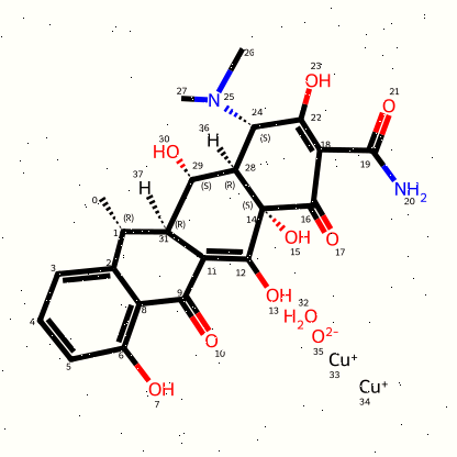 C[C@H]1c2cccc(O)c2C(=O)C2=C(O)[C@]3(O)C(=O)C(C(N)=O)=C(O)[C@@H](N(C)C)[C@@H]3[C@@H](O)[C@@H]21.O.[Cu+].[Cu+].[O-2]